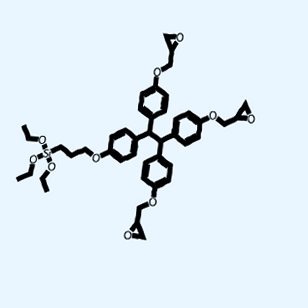 CCO[Si](CCCOc1ccc(C(c2ccc(OCC3CO3)cc2)C(c2ccc(OCC3CO3)cc2)c2ccc(OCC3CO3)cc2)cc1)(OCC)OCC